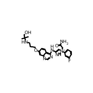 CC(C)(CO)NCCCOc1ccc2c(NC3=C[N+](CC(N)=O)(c4cccc(F)c4)N=N3)ncnc2c1